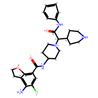 Nc1c(Cl)cc(C(=O)NC2CCN(C(C(=O)Nc3ccccc3)C3CCNCC3)CC2)c2c1CCO2